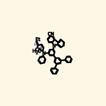 C=C(/C=C\C(C#N)=C/CC)N(c1ccccc1)c1cc(-c2cc(-c3ccccc3)cc(-c3ccccc3)c2)cc(-n2c3ccccc3c3cc(C#N)ccc32)c1